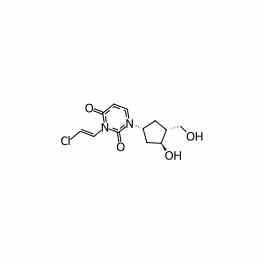 O=c1ccn([C@@H]2C[C@H](CO)[C@@H](O)C2)c(=O)n1C=CCl